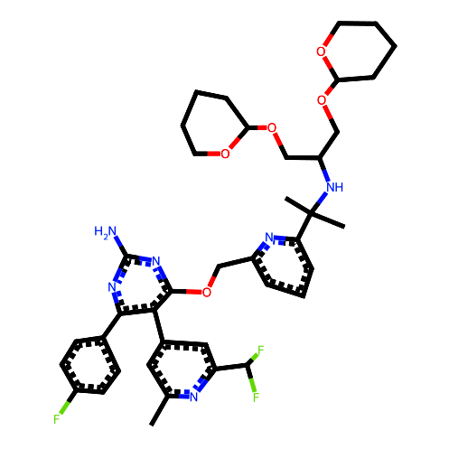 Cc1cc(-c2c(OCc3cccc(C(C)(C)NC(COC4CCCCO4)COC4CCCCO4)n3)nc(N)nc2-c2ccc(F)cc2)cc(C(F)F)n1